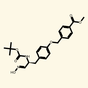 COC(=O)c1ccc(COc2ccc(C[C@@H](C=NO)NC(=O)OC(C)(C)C)cc2)cc1